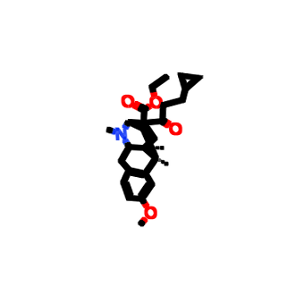 CCOC(=O)C1(C(=O)CCC2CC2)C[C@]2(C)C3Cc4ccc(OC)cc4[C@]2(C)CC1N3C